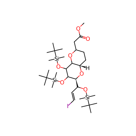 COC(=O)CC1CC[C@@H]2O[C@@H](C(/C=C/I)O[Si](C)(C)C(C)(C)C)C(O[Si](C)(C)C(C)(C)C)C(O[Si](C)(C)C(C)(C)C)C2O1